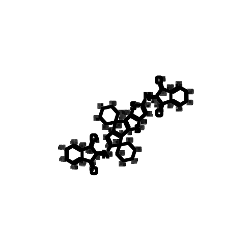 O=c1c(=NC2=CC3=C(c4sc5cc(N=c6c(=O)c7ccccc7c6=O)sc5c4C34CCCCC4)C23CCCCC3)c(=O)c2ccccc12